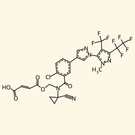 Cn1nc(C(F)(F)C(F)(F)F)c(C(F)(F)F)c1-n1cc(-c2ccc(Cl)c(C(=O)N(COC(=O)/C=C/C(=O)O)C3(C#N)CC3)c2)cn1